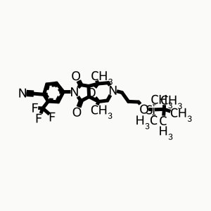 CC12CN(CCCO[Si](C)(C)C(C)(C)C)CC(C)(O1)C1C(=O)N(c3ccc(C#N)c(C(F)(F)F)c3)C(=O)C12